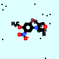 COc1cc(Br)c(N2C[C@@H]3C[C@H]2CO3)cc1[N+](=O)[O-]